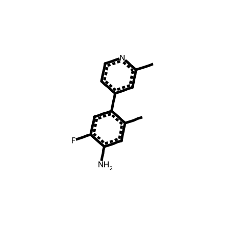 Cc1cc(-c2cc(F)c(N)cc2C)ccn1